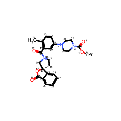 CCCOC(=O)N1CCN(c2ccc(C)c(C(=O)N3CC[C@@]4(C3)OC(=O)c3ccccc34)c2)CC1